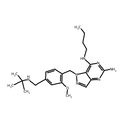 CCCCNc1nc(N)nc2cnn(Cc3ccc(CNC(C)(C)C)cc3OC)c12